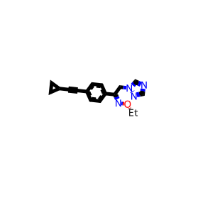 CCO/N=C(\Cn1cncn1)c1ccc(C#CC2CC2)cc1